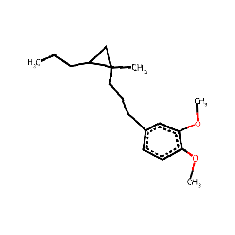 CCCC1CC1(C)CCCc1ccc(OC)c(OC)c1